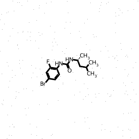 CC(C)C[C@@H](C)NC(=O)Nc1ccc(Br)cc1F